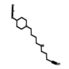 C#CCCCNCCCCN1CCC(N=[N+]=[N-])CC1